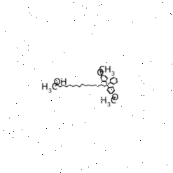 COc1ccc(C(CCCCCCCCCCCCCCCC(C)O)(c2ccccc2)c2ccc(OC)cc2)cc1